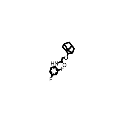 O=C(COC1C2CC3CC(C2)CC1C3)Nc1ccc(F)cc1F